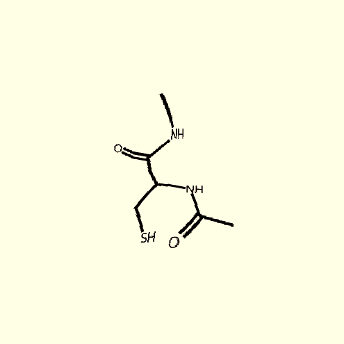 CNC(=O)C(CS)NC(C)=O